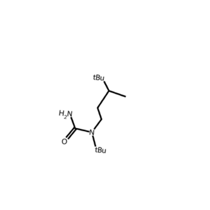 CC(CCN(C(N)=O)C(C)(C)C)C(C)(C)C